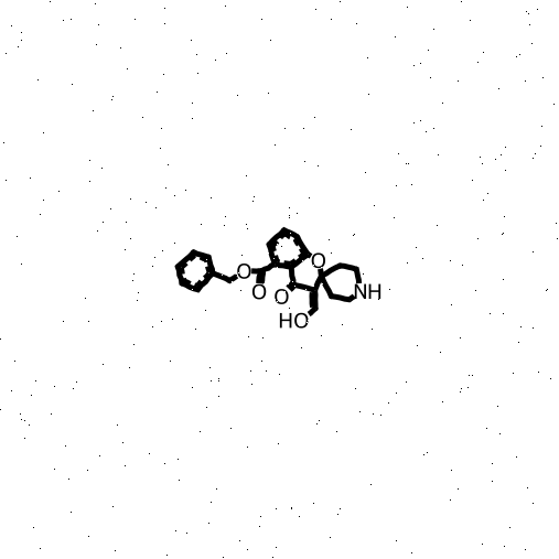 O=C(OCc1ccccc1)c1cccc2c1C(=O)C(=CO)C1(CCNCC1)O2